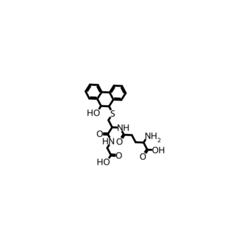 NC(CCC(=O)NC(CSC1c2ccccc2-c2ccccc2C1O)C(=O)NCC(=O)O)C(=O)O